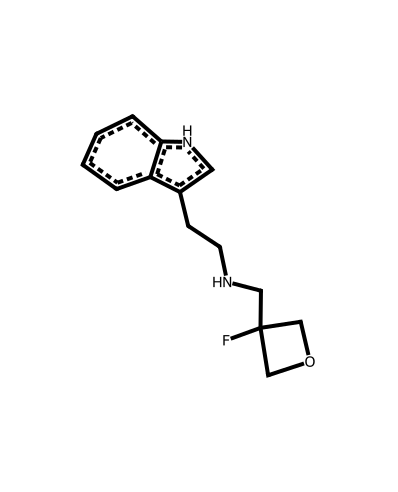 FC1(CNCCc2c[nH]c3ccccc23)COC1